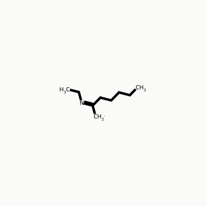 [CH2]/C(CCCCC)=N/CC